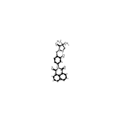 CC1(C)CON(Cc2ccc(N3C(=O)c4cccc5cccc(c45)C3=O)cc2Cl)C1=O